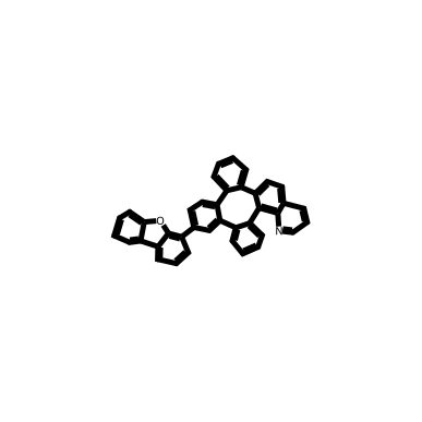 c1ccc2c(c1)-c1ccc(-c3cccc4c3oc3ccccc34)cc1-c1ccccc1-c1c-2ccc2cccnc12